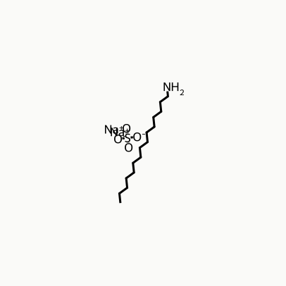 CCCCCCCCCCCCCCCN.O=S(=O)([O-])[O-].[Na+].[Na+]